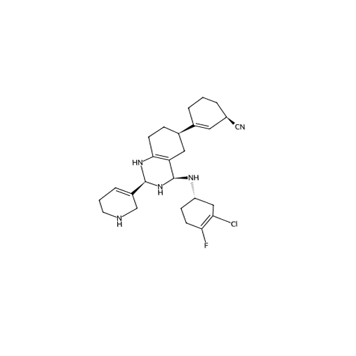 N#C[C@H]1C=C([C@@H]2CCC3=C(C2)[C@@H](N[C@H]2CCC(F)=C(Cl)C2)N[C@@H](C2=CCCNC2)N3)CCC1